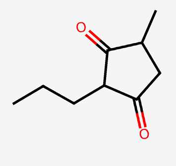 CCCC1C(=O)CC(C)C1=O